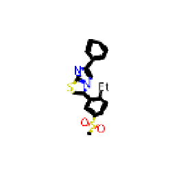 CCc1ccc(S(C)(=O)=O)cc1-c1csc2nc(-c3ccccc3)cn12